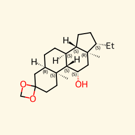 CC[C@H]1CC[C@H]2[C@@H]3CC[C@@H]4CC5(CC[C@]4(C)[C@H]3[C@@H](O)C[C@]12C)OCO5